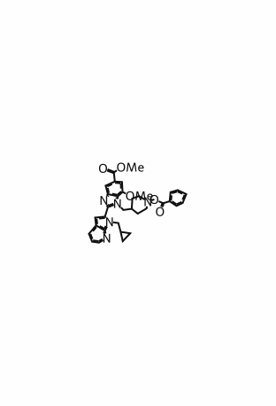 COC(=O)c1cc(OC)c2c(c1)nc(-c1cc3cccnc3n1CC1CC1)n2CC1CCN(OC(=O)c2ccccc2)CC1